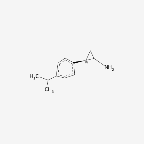 CC(C)c1ccc([C@H]2CC2N)cc1